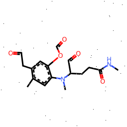 CNC(=O)CCC(C=O)N(C)c1cc(C)c(CC=O)cc1OC=O